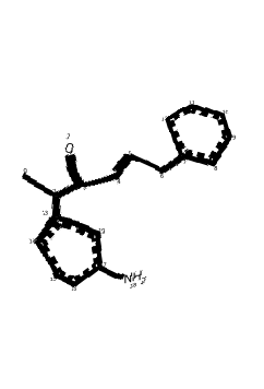 CC(C(=O)/C=C/Cc1ccccc1)c1cccc(N)c1